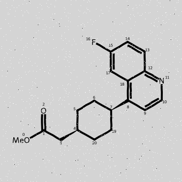 COC(=O)C[C@H]1CC[C@@H](c2ccnc3ccc(F)cc32)CC1